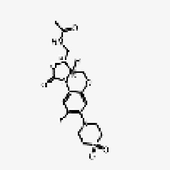 CC(=O)NC[C@@H]1OC(=O)N2c3cc(F)c(N4CCS(=O)(=O)CC4)cc3OC[C@@H]12